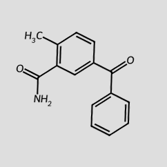 Cc1ccc(C(=O)c2ccccc2)cc1C(N)=O